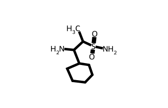 CC(C(N)C1CCCCC1)S(N)(=O)=O